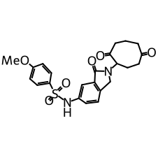 COc1ccc(S(=O)(=O)Nc2ccc3c(c2)C(=O)N(C2CCC(=O)CCCC2=O)C3)cc1